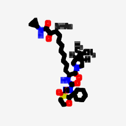 CC(=O)N[C@@H](CCCCCCCC[C@H](NC(=O)NC1(C2OCCS2(=O)=O)CCCCC1)C(=O)N1C[C@@H]2[C@H](C1)C2(C)C)C(=O)C(=O)NC1CC1